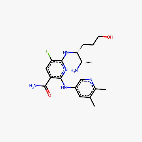 Cc1cc(Nc2nc(N[C@H](CCCO)[C@H](C)N)c(F)cc2C(N)=O)cnc1C